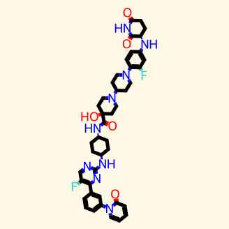 O=C1CC[C@H](Nc2ccc(N3CCC(N4CCC(O)(C(=O)N[C@H]5CC[C@H](Nc6ncc(F)c(-c7cccc(-n8ccccc8=O)c7)n6)CC5)CC4)CC3)c(F)c2)C(=O)N1